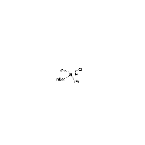 CCCCCCCCCC[N+](C)(CCC)CCCCCCCCCC.[Cl-]